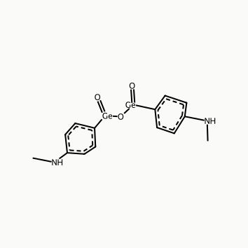 CNc1cc[c]([Ge](=[O])[O][Ge](=[O])[c]2ccc(NC)cc2)cc1